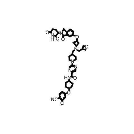 N#Cc1ccc(OC2CCC(NC(=O)c3cnc(N4CCC(CN(CC5COC5)C5CC(Oc6ccc7c(c6)C(=O)N([C@@H]6CCC(=O)NC6=O)C7)C5)CC4)cn3)CC2)cc1Cl